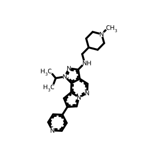 CC(C)n1nc(NCC2CCN(C)CC2)c2cnn3cc(-c4ccncc4)cc3c21